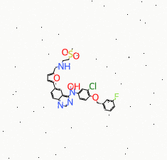 CS(=O)(=O)CCNCc1ccc(-c2ccc3ncnc(N(O)c4ccc(OCc5cccc(F)c5)c(Cl)c4)c3c2)o1